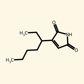 CCCCC(CC)C1=CC(=O)NC1=O